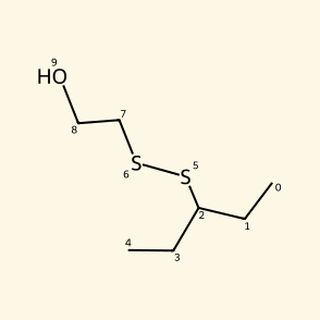 CCC(CC)SSCCO